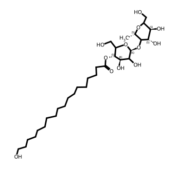 C[C@@H]1OC(CO)[C@@H](O)[C@H](O)C1O[C@@H]1OC(CO)[C@@H](OC(=O)CCCCCCCCCCCCCCCCCO)[C@H](O)C1O